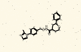 Cc1nccn1-c1ccc(CONC(=O)C2CCOC(c3ccccc3)C2)cc1